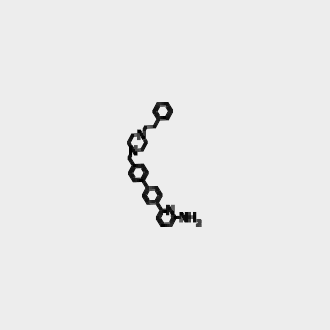 Nc1cccc(-c2ccc(-c3ccc(CN4CCN(CCc5ccccc5)CC4)cc3)cc2)n1